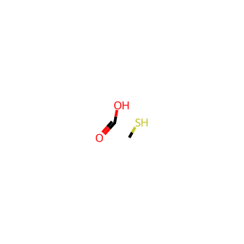 CS.O=CO